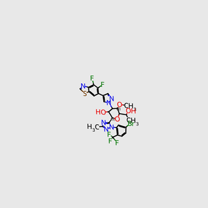 CO[C@H]1C(C(C)O)O[C@@H](c2nc(C)nn2-c2cc(Br)ccc2C(F)(F)F)C(O)C1n1cc(-c2cc3scnc3c(F)c2F)cn1